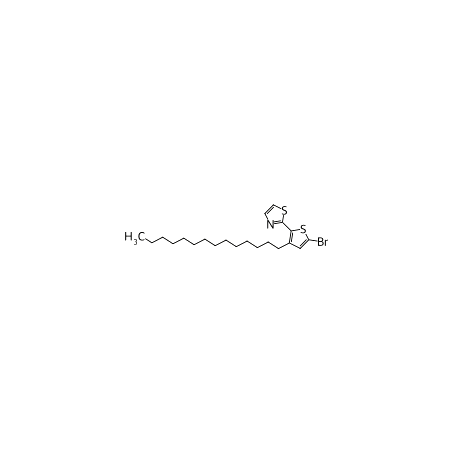 CCCCCCCCCCCCCCc1cc(Br)sc1-c1nccs1